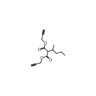 C#CCOC(=O)C(C(=O)OCC#C)C(C)CCC